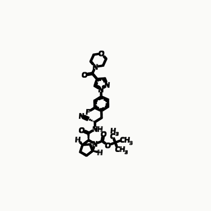 CC(C)(C)OC(=O)N1[C@@H]2CC[C@@H](C2)[C@H]1C(=O)N[C@H](C#N)Cc1ccc(-n2cc(C(=O)N3CCOCC3)cn2)cc1F